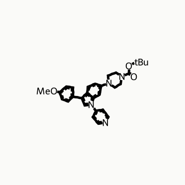 COc1ccc(-c2cn(-c3ccncc3)c3cc(N4CCN(C(=O)OC(C)(C)C)CC4)ccc23)cc1